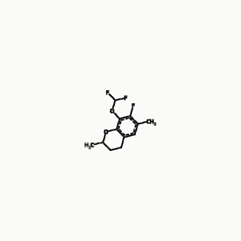 Cc1cc2c(c(OC(F)F)c1F)OC(C)CC2